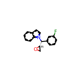 Fc1cccc(C([C@@H]2CO2)n2ccc3ccccc32)c1